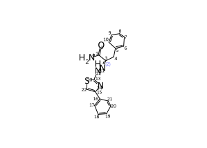 NC(=O)/C(Cc1ccccc1)=N\Nc1nc(-c2ccccc2)cs1